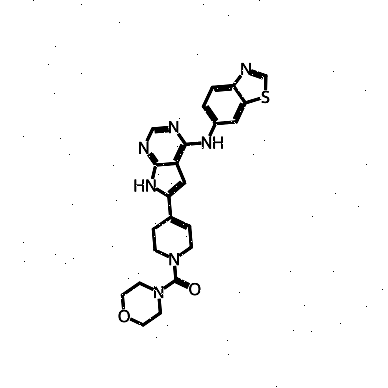 O=C(N1CC=C(c2cc3c(Nc4ccc5ncsc5c4)ncnc3[nH]2)CC1)N1CCOCC1